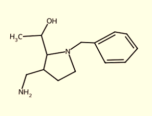 CC(O)C1C(CN)CCN1Cc1ccccc1